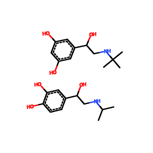 CC(C)(C)NCC(O)c1cc(O)cc(O)c1.CC(C)NCC(O)c1ccc(O)c(O)c1